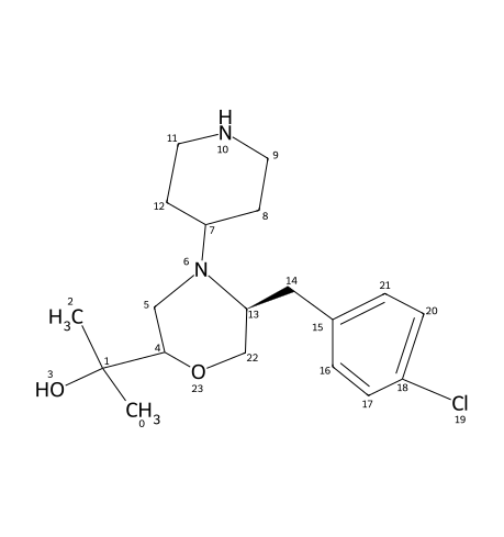 CC(C)(O)C1CN(C2CCNCC2)[C@@H](Cc2ccc(Cl)cc2)CO1